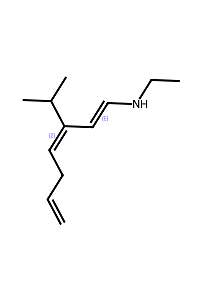 C=CC/C=C(\C=C\NCC)C(C)C